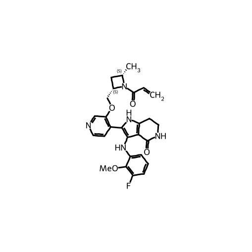 C=CC(=O)N1[C@H](COc2cnccc2-c2[nH]c3c(c2Nc2cccc(F)c2OC)C(=O)NCC3)C[C@@H]1C